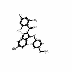 Cc1cc(F)cc(C)c1C(=O)c1sc2cc(O)ccc2c1Oc1ccc(CN)cc1